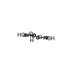 Cc1c(NC(=O)CCN2CC[C@@H](O)C2)cccc1-c1cccc(OCCCN2CC[C@@H](O)C2)c1C